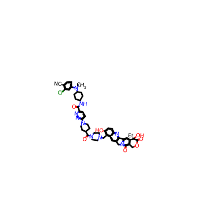 CC[C@@]1(O)C(=O)OCc2c1cc1n(c2=O)Cc2cc3c(CN4CCN(C(=O)C5CCN(c6ccc(C(=O)NC7CCC(N(C)c8ccc(C#N)c(Cl)c8)CC7)nn6)CC5)CC4)c(O)ccc3nc2-1